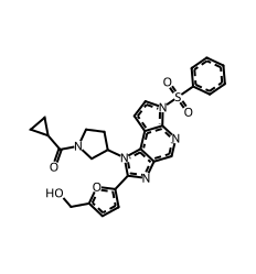 O=C(C1CC1)N1CCC(n2c(-c3ccc(CO)o3)nc3cnc4c(ccn4S(=O)(=O)c4ccccc4)c32)C1